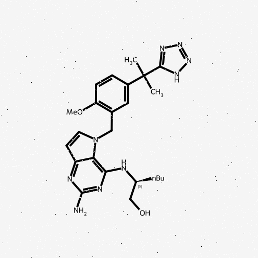 CCCC[C@@H](CO)Nc1nc(N)nc2ccn(Cc3cc(C(C)(C)c4nnn[nH]4)ccc3OC)c12